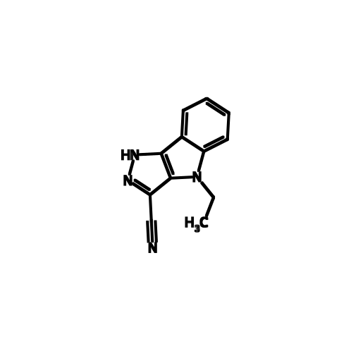 CCn1c2ccccc2c2[nH]nc(C#N)c21